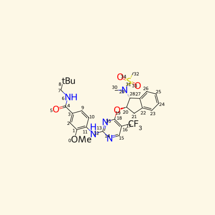 COc1cc(C(=O)NCC(C)(C)C)ccc1Nc1ncc(C(F)(F)F)c(O[C@@H]2Cc3ccccc3[C@H]2N(C)S(C)(=O)=O)n1